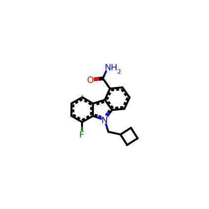 NC(=O)c1cccc2c1c1[c]ccc(F)c1n2CC1CCC1